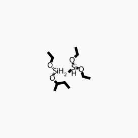 CCO[SiH2]OC(C)CC.CCO[SiH](C)OCC